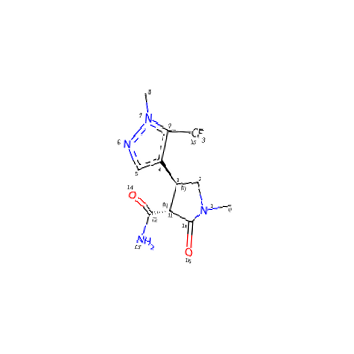 CN1C[C@H](c2cnn(C)c2C(F)(F)F)[C@@H](C(N)=O)C1=O